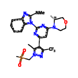 CNc1nc2ccccc2n1-c1nc(-c2c(C(F)(F)F)nn(CS(C)(=O)=O)c2C)cc(N2CCOC[C@H]2C)n1